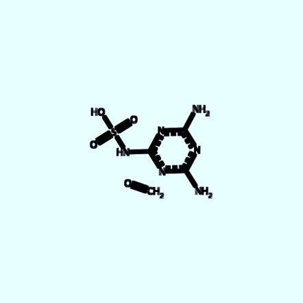 C=O.Nc1nc(N)nc(NS(=O)(=O)O)n1